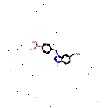 COc1ccc2[nH]c[n+](Cc3ccc(B(O)O)cc3)c2c1